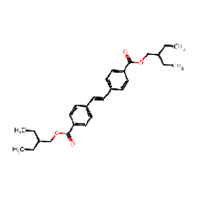 CCC(CC)COC(=O)c1ccc(C=Cc2ccc(C(=O)OCC(CC)CC)cc2)cc1